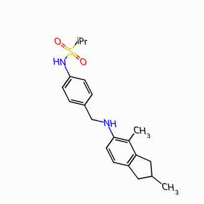 Cc1c(NCc2ccc(NS(=O)(=O)C(C)C)cc2)ccc2c1CC(C)C2